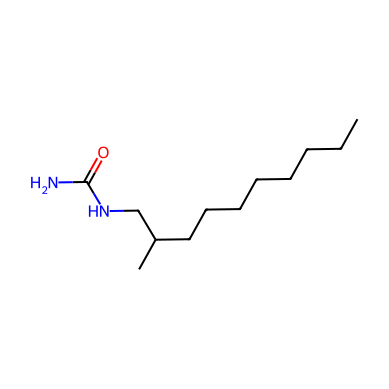 CCCCCCCCC(C)CNC(N)=O